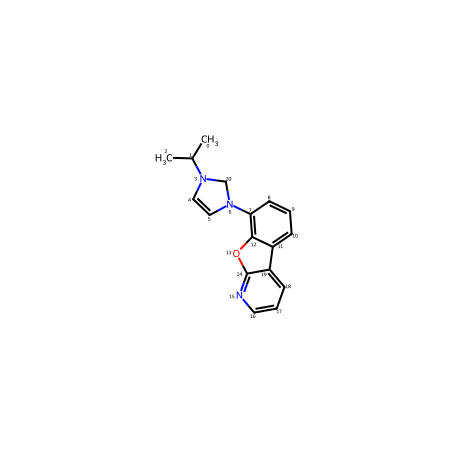 CC(C)N1C=CN(c2cccc3c2oc2ncccc23)C1